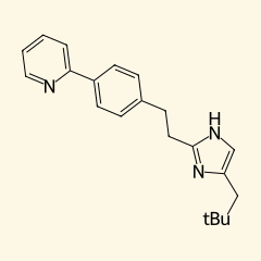 CC(C)(C)Cc1c[nH]c(CCc2ccc(-c3ccccn3)cc2)n1